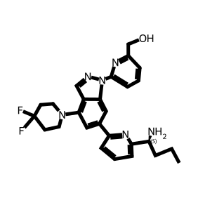 CCC[C@H](N)c1cccc(-c2cc(N3CCC(F)(F)CC3)c3cnn(-c4cccc(CO)n4)c3c2)n1